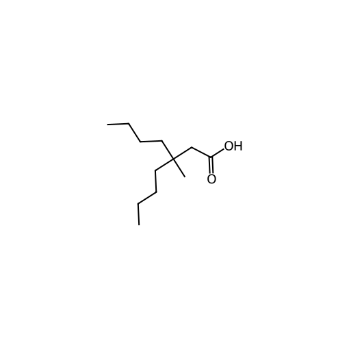 CCCCC(C)(CCCC)CC(=O)O